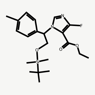 CCOC(=O)c1c(F)ncn1C(CO[Si](C)(C)C(C)(C)C)c1ccc(C)cc1